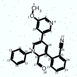 COc1cncc(C2=CN(c3ccccc3)C(C=O)C(c3ccccc3C#N)=C2)c1